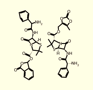 CC1(C)S[C@@H]2[C@H](NC(=O)C(N)c3ccccc3)C(=O)N2[C@H]1C(=O)OC1OC(=O)c2ccccc21.Cc1oc(=O)oc1COC(=O)[C@@H]1N2C(=O)[C@@H](NC(=O)[C@H](N)c3ccccc3)[C@H]2SC1(C)C